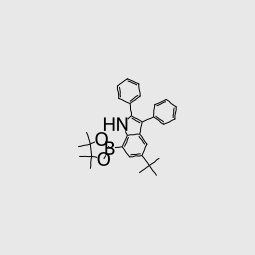 CC(C)(C)c1cc(B2OC(C)(C)C(C)(C)O2)c2[nH]c(-c3ccccc3)c(-c3ccccc3)c2c1